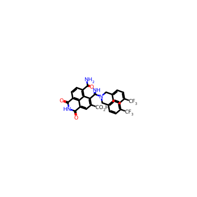 N=C(c1c(C(=O)O)cc2c3c(ccc(C(N)=O)c13)C(=O)NC2=O)N(Cc1ccc(C(F)(F)F)cc1)Cc1ccc(C(F)(F)F)cc1